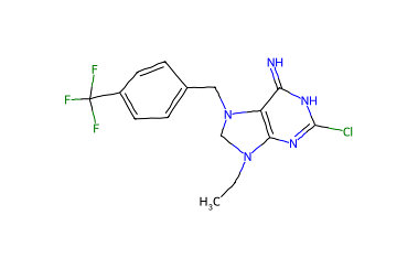 CCN1CN(Cc2ccc(C(F)(F)F)cc2)c2c1nc(Cl)[nH]c2=N